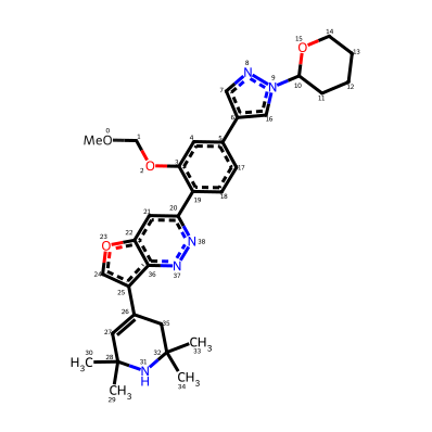 COCOc1cc(-c2cnn(C3CCCCO3)c2)ccc1-c1cc2occ(C3=CC(C)(C)NC(C)(C)C3)c2nn1